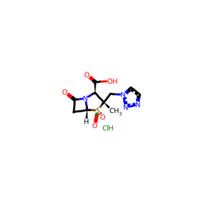 C[C@]1(Cn2ccnn2)[C@H](C(=O)O)N2C(=O)C[C@H]2S1(=O)=O.Cl